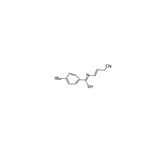 CC(C)(C)c1ccc(/C(S)=N/C=C/CC#N)cc1